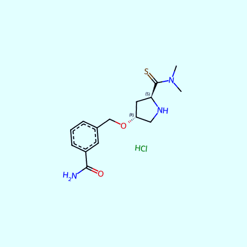 CN(C)C(=S)[C@@H]1C[C@@H](OCc2cccc(C(N)=O)c2)CN1.Cl